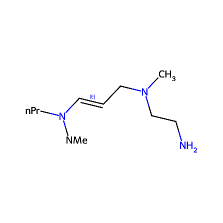 CCCN(/C=C/CN(C)CCN)NC